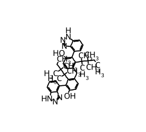 CCC(C)(C)C(C)(C)c1c(Cc2ccc(O)c(-c3cccc4[nH]nnc34)c2C(C)(C)C(C)(C)CC)ccc(O)c1-c1cccc2[nH]nnc12